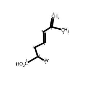 C=C(C)C=CCC(C(=O)O)C(C)C